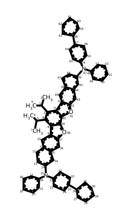 CC(C)c1c(C(C)C)c2c3cc4ccc(N(c5ccccc5)c5ccc(-c6ccccc6)cc5)cc4cc3oc2c2oc3cc4cc(N(c5ccccc5)c5ccc(-c6ccccc6)cc5)ccc4cc3c12